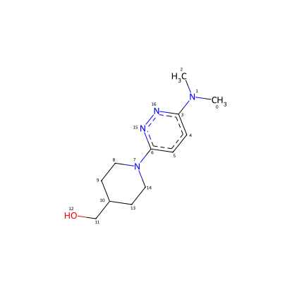 CN(C)c1ccc(N2CCC(CO)CC2)nn1